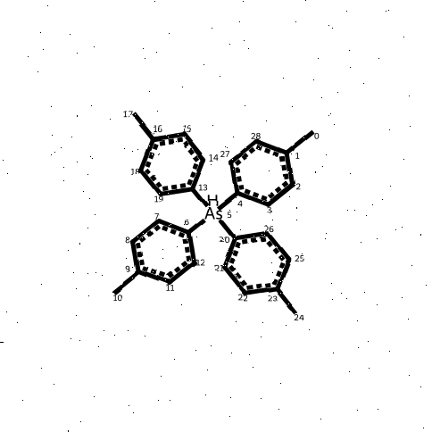 Cc1ccc([AsH](c2ccc(C)cc2)(c2ccc(C)cc2)c2ccc(C)cc2)cc1